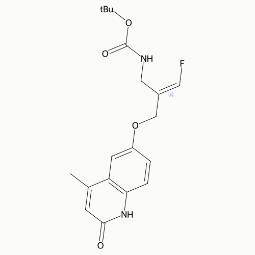 Cc1cc(=O)[nH]c2ccc(OC/C(=C/F)CNC(=O)OC(C)(C)C)cc12